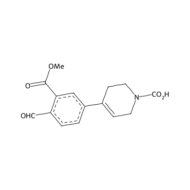 COC(=O)c1cc(C2=CCN(C(=O)O)CC2)ccc1C=O